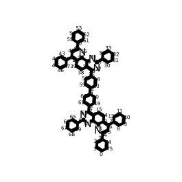 c1ccc(-c2cc(-c3ccccc3)c3ccc4c(-c5ccc(-c6ccc(-c7nc(-c8ccccc8)nc8c7ccc7c(-c9ccccc9)cc(-c9ccccc9)nc78)cc6)cc5)nc(-c5ccccc5)nc4c3n2)cc1